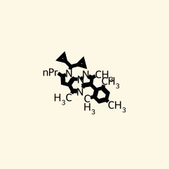 CCCc1cc2c(C)nc3c(-c4c(C)cc(C)cc4C)c(C)nn3c2n1C(C1CC1)C1CC1